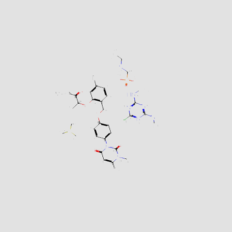 CCNc1nc(Cl)nc(NC(C)(C)C)n1.CCc1ccc(COc2ccc(-n3c(=O)cc(C(F)(F)F)n(C)c3=O)cc2)c(OC(C)C(=O)OC)c1.C[S+](C)C.O=C(O)CNCP(=O)([O-])O